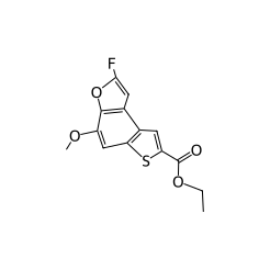 CCOC(=O)c1cc2c(cc(OC)c3oc(F)cc32)s1